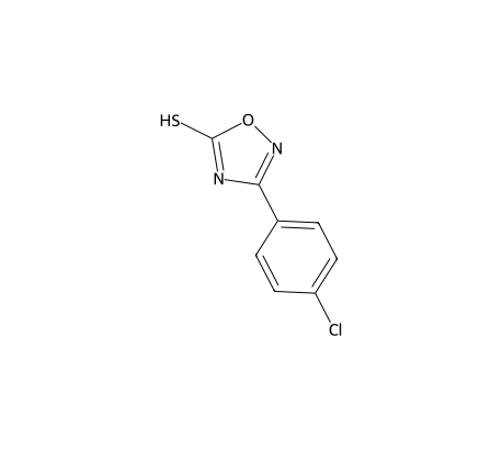 Sc1nc(-c2ccc(Cl)cc2)no1